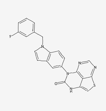 O=C1Nc2csc3ncnc(c23)N1c1ccc2c(ccn2Cc2cccc(F)c2)c1